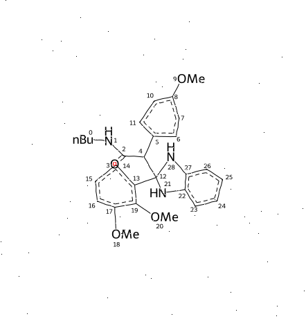 CCCCNC(=O)C(c1ccc(OC)cc1)C1(c2cccc(OC)c2OC)Nc2ccccc2N1